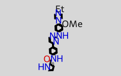 CCN1CCN(c2ccc(Nc3nccc(-c4ccc(NC(=O)[C@H]5CCCN5)cc4)n3)cc2OC)CC1